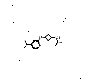 CC(C)NC1CC(Oc2cc(C(C)C)ccn2)C1